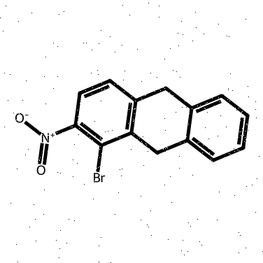 O=[N+]([O-])c1ccc2c(c1Br)Cc1ccccc1C2